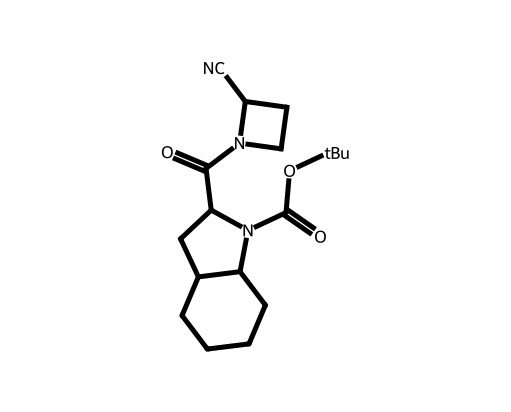 CC(C)(C)OC(=O)N1C(C(=O)N2CCC2C#N)CC2CCCCC21